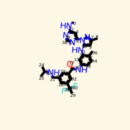 CNc1cc(-n2nc(C)cc2Nc2cc(NC(=O)c3cc(CNC(C)C)cc(C(C)(F)F)c3)ccc2C)ncn1